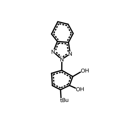 CC(C)(C)c1ccc(-n2nc3ccccc3n2)c(O)c1O